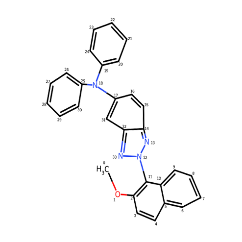 COc1ccc2ccccc2c1-n1nc2ccc(N(c3ccccc3)c3ccccc3)cc2n1